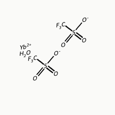 O.O=S(=O)([O-])C(F)(F)F.O=S(=O)([O-])C(F)(F)F.[Yb+2]